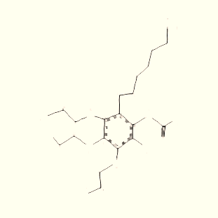 CCCCCCCc1c(OC(=O)O)c(O)c(OCCC)c(OCCC)c1OCCC